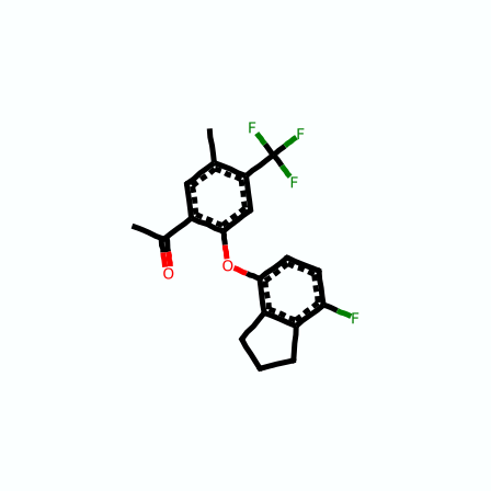 CC(=O)c1cc(C)c(C(F)(F)F)cc1Oc1ccc(F)c2c1CCC2